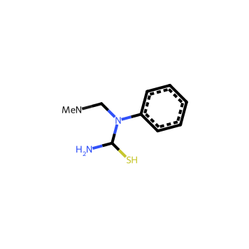 CNCN(c1ccccc1)C(N)S